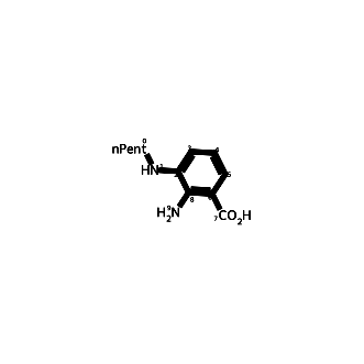 CCCCCNc1cccc(C(=O)O)c1N